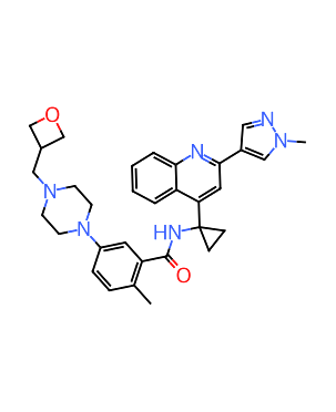 Cc1ccc(N2CCN(CC3COC3)CC2)cc1C(=O)NC1(c2cc(-c3cnn(C)c3)nc3ccccc23)CC1